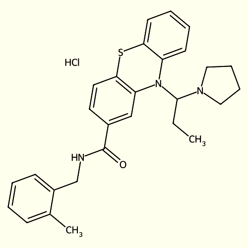 CCC(N1CCCC1)N1c2ccccc2Sc2ccc(C(=O)NCc3ccccc3C)cc21.Cl